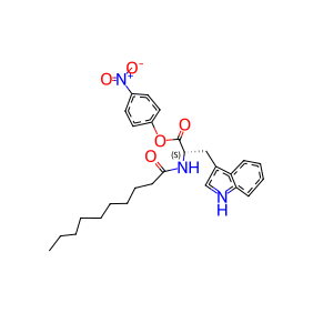 CCCCCCCCCC(=O)N[C@@H](Cc1c[nH]c2ccccc12)C(=O)Oc1ccc([N+](=O)[O-])cc1